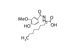 CCCCCCCCC(=O)O.COc1cc(C(N)=O)ccc1O